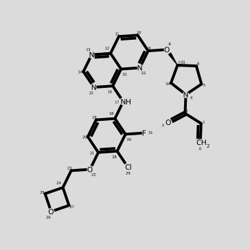 C=CC(=O)N1CC[C@H](Oc2ccc3ncnc(Nc4ccc(OCC5COC5)c(Cl)c4F)c3n2)C1